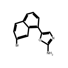 Nc1ncc(-c2cccc3ccc(Br)cc23)o1